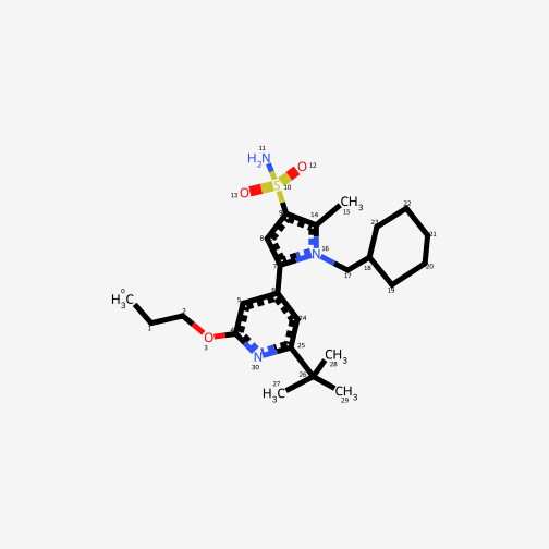 CCCOc1cc(-c2cc(S(N)(=O)=O)c(C)n2CC2CCCCC2)cc(C(C)(C)C)n1